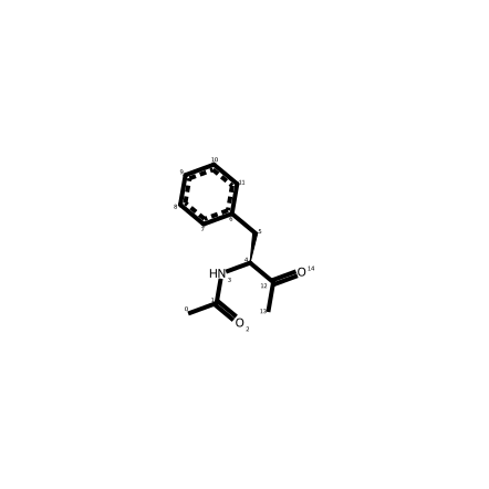 CC(=O)N[C@@H](Cc1ccccc1)C(C)=O